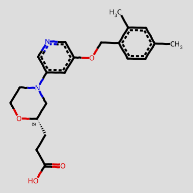 Cc1ccc(COc2cncc(N3CCO[C@@H](CCC(=O)O)C3)c2)c(C)c1